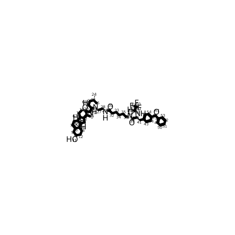 CC1=C2C[C@H]3[C@@H](CC=C4C[C@@H](O)CC[C@@]43C)[C@@H]2CC[C@]12O[C@@H]1C[C@H](C)CN(CCNC(=O)CCCCCNC(=O)[C@H](Cc3ccc(C(=O)c4ccccc4)cc3)NC(=O)C(F)(F)F)[C@H]1[C@H]2C